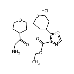 CCOC(=O)c1ncoc1C1CCOCC1.Cl.NCC(=O)C1CCOCC1